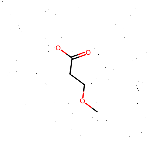 COCCC([O])=O